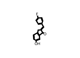 O=C1/C(=C/c2ccc(F)cc2)Cc2ccc(O)cc21